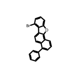 Brc1cccc2oc3c4cccc(-c5ccccc5)c4ccc3c12